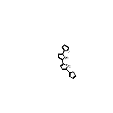 c1csc(-c2ccc(-c3ccc(-c4cccs4)[se]3)[se]2)c1